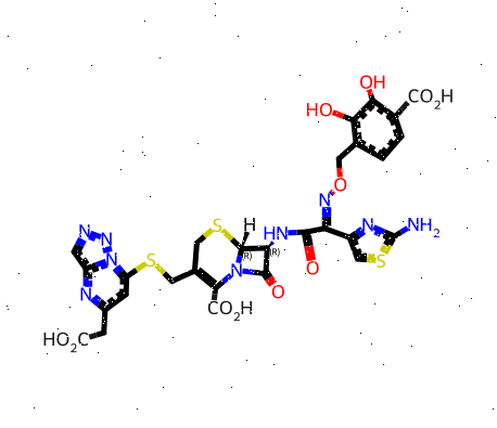 Nc1nc(C(=NOCc2ccc(C(=O)O)c(O)c2O)C(=O)N[C@@H]2C(=O)N3C(C(=O)O)=C(CSc4cc(CC(=O)O)nc5cnnn45)CS[C@H]23)cs1